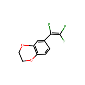 FC(F)=C(F)c1ccc2c(c1)OCCO2